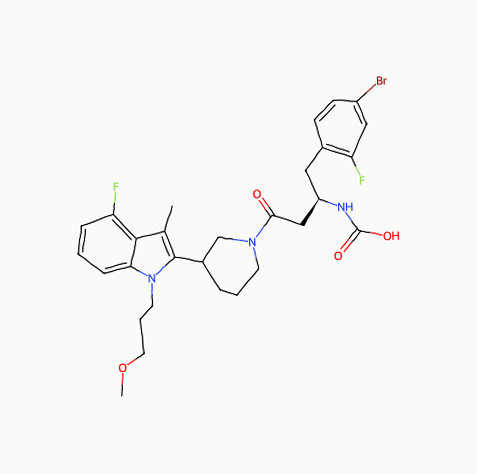 COCCCn1c(C2CCCN(C(=O)C[C@@H](Cc3ccc(Br)cc3F)NC(=O)O)C2)c(C)c2c(F)cccc21